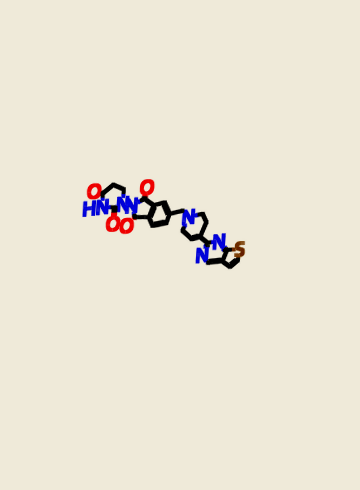 O=C1CCN(N2C(=O)c3ccc(CN4CC=C(c5ncc6ccsc6n5)CC4)cc3C2=O)C(=O)N1